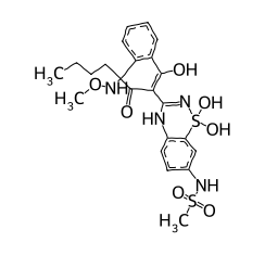 CCCCC1(NOC)C(=O)C(C2=NS(O)(O)c3cc(NS(C)(=O)=O)ccc3N2)=C(O)c2ccccc21